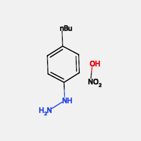 CCCCc1ccc(NN)cc1.O=[N+]([O-])O